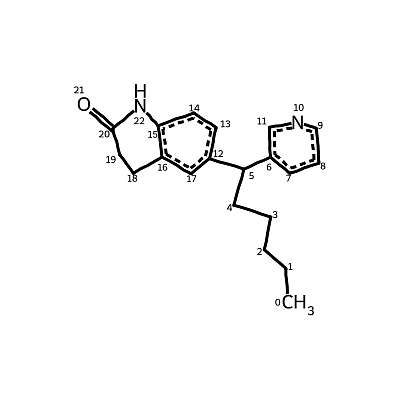 CCCCCC(c1cccnc1)c1ccc2c(c1)CCC(=O)N2